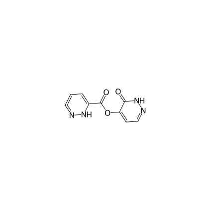 O=C(Oc1ccn[nH]c1=O)C1=CC=C=NN1